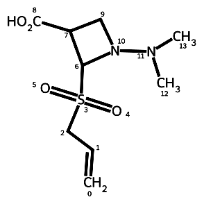 C=CCS(=O)(=O)C1C(C(=O)O)CN1N(C)C